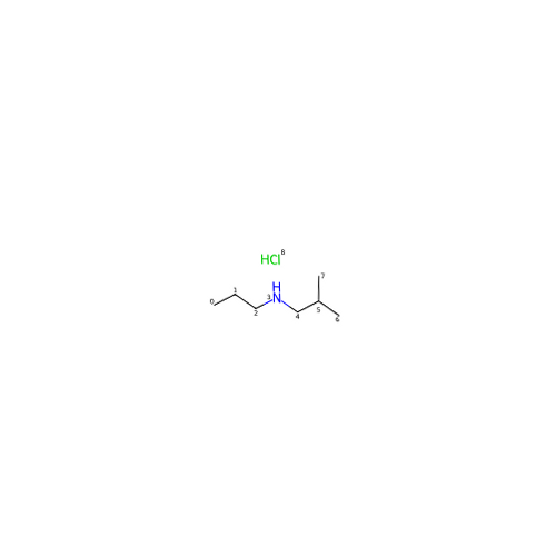 CCCNCC(C)C.Cl